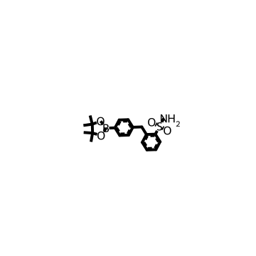 CC1(C)OB(c2ccc(Cc3ccccc3S(N)(=O)=O)cc2)OC1(C)C